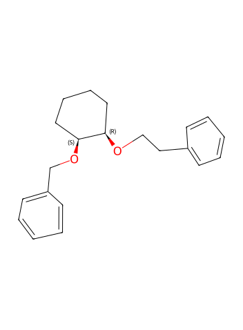 c1ccc(CCO[C@@H]2CCCC[C@@H]2OCc2ccccc2)cc1